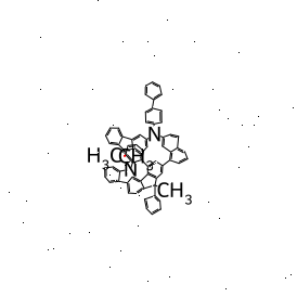 CC1(C)c2ccccc2-c2cc(N(c3ccc(-c4ccccc4)cc3)c3ccc4cccc(-c5cc6c7c(c5)C(C)(c5ccccc5)c5ccc8c9ccccc9n(c8c5-7)-c5ccccc5-6)c4c3)ccc21